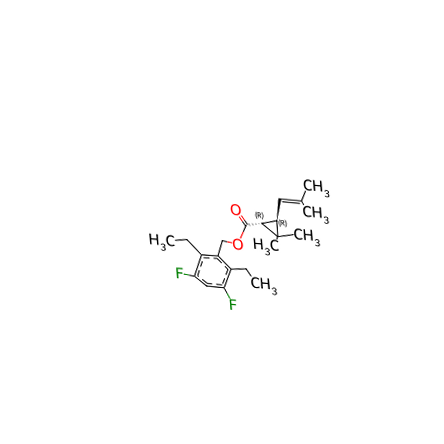 CCc1c(F)cc(F)c(CC)c1COC(=O)[C@@H]1[C@@H](C=C(C)C)C1(C)C